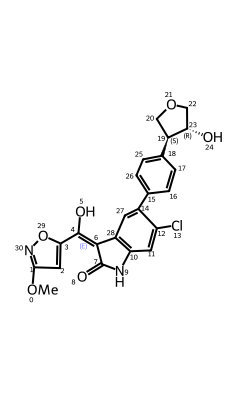 COc1cc(/C(O)=C2\C(=O)Nc3cc(Cl)c(-c4ccc([C@H]5COC[C@@H]5O)cc4)cc32)on1